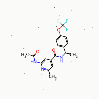 CC(=O)Nc1cc(C(=O)N[C@H](C)c2ccc(OC(F)(F)F)cc2)cc(C)n1